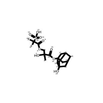 CC(O)(COC(=O)C(F)(F)S(=O)(=O)O)C(=O)OC12CC3CC(CC(O)(C3)C1)C2